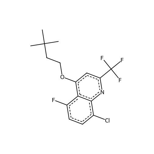 CC(C)(C)CCOc1cc(C(F)(F)F)nc2c(Cl)ccc(F)c12